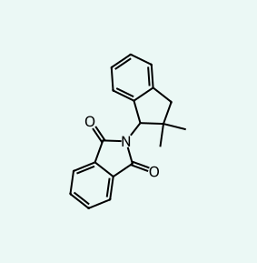 CC1(C)Cc2ccccc2C1N1C(=O)c2ccccc2C1=O